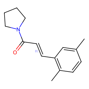 Cc1ccc(C)c(/C=C/C(=O)N2CCCC2)c1